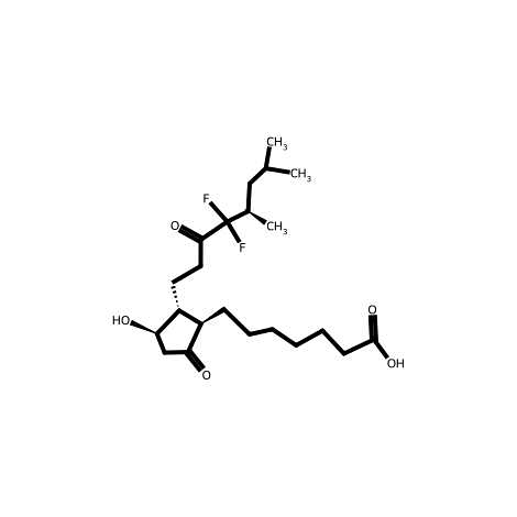 CC(C)C[C@@H](C)C(F)(F)C(=O)CC[C@H]1[C@H](O)CC(=O)[C@@H]1CCCCCCC(=O)O